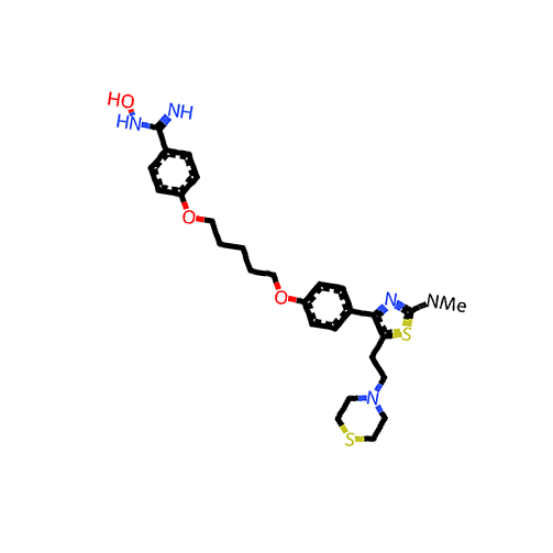 CNc1nc(-c2ccc(OCCCCCOc3ccc(C(=N)NO)cc3)cc2)c(CCN2CCSCC2)s1